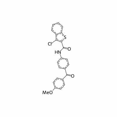 COc1ccc(C(=O)c2ccc(NC(=O)c3sc4ccccc4c3Cl)cc2)cc1